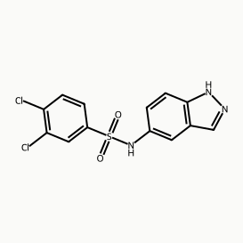 O=S(=O)(Nc1ccc2[nH]ncc2c1)c1ccc(Cl)c(Cl)c1